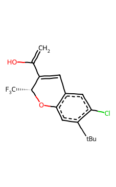 C=C(O)C1=Cc2cc(Cl)c(C(C)(C)C)cc2O[C@@H]1C(F)(F)F